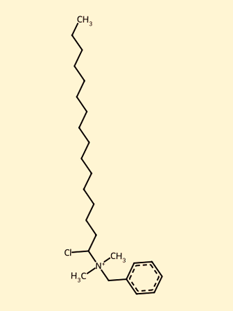 CCCCCCCCCCCCCCCC(Cl)[N+](C)(C)Cc1ccccc1